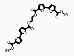 CC(C)OC(=O)c1ccc(-c2ccc(C(=O)OCCOC(=O)c3ccc(-c4ccc(C(=O)OC(C)C)o4)o3)o2)o1